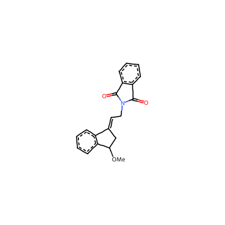 COC1C/C(=C\CN2C(=O)c3ccccc3C2=O)c2ccccc21